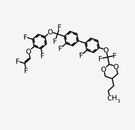 CCCC1COC(C(F)(F)Oc2ccc(-c3ccc(C(F)(F)Oc4cc(F)c(OC=C(F)F)c(F)c4)c(F)c3)c(F)c2)OC1